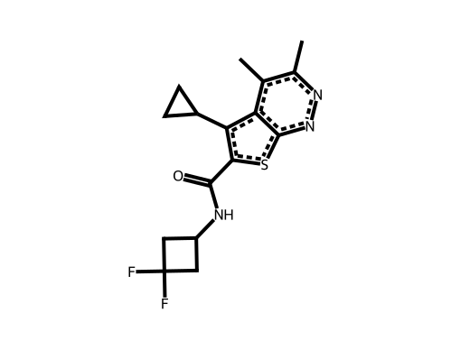 Cc1nnc2sc(C(=O)NC3CC(F)(F)C3)c(C3CC3)c2c1C